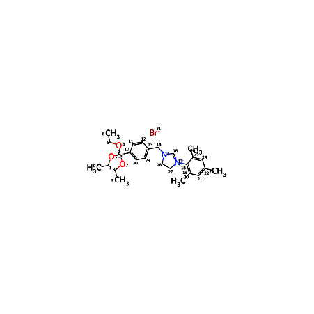 CCO[Si](OCC)(OCC)c1ccc(CN2C=[N+](c3c(C)cc(C)cc3C)CC2)cc1.[Br-]